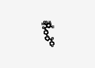 O=C(O)Nc1cnc(Cl)cc1C(=O)N1CCC(N2CCCC(C(=O)N3CCOCC3)C2)CC1